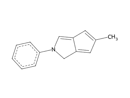 CC1=CC2=CN(c3ccccc3)CC2=C1